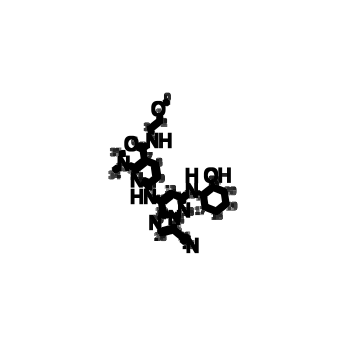 COCCNC(=O)c1ccc(Nc2cc(N[C@@H]3CCCC[C@H]3O)nn3c(C#N)cnc23)nc1N(C)C